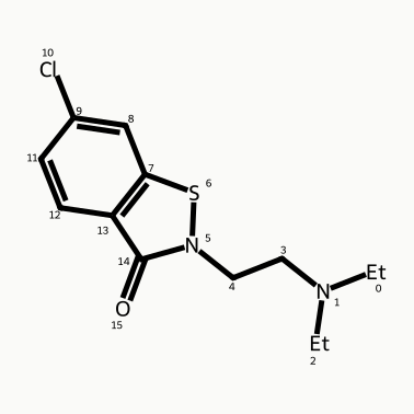 CCN(CC)CCn1sc2cc(Cl)ccc2c1=O